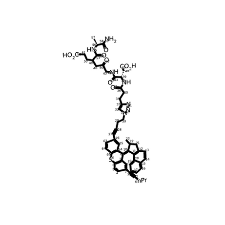 CCCC#Cc1ccc2c(c1)/C(=C1\c3c(ccc4ccccc34)CC1C)c1cc(C#CCCn3cc(CCC(=O)N[C@@H](CC(=O)O)C(=O)NCC(=O)CC(CCC(=O)O)C(=O)N[C@@H](C)C(N)=O)nn3)ccc1S2